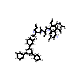 C=C/C=C(\C=C(/C)C(=CC)/C=c1/c(C=C)c(/C=C\BC)c(C=C)c(/C=C\BC)c1=C)c1nc2ccc(-c3nc(-c4ccccc4)nc(-c4ccccc4)n3)cc2s1